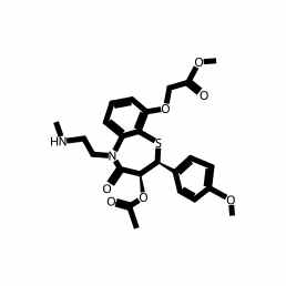 CNCCN1C(=O)[C@H](OC(C)=O)[C@H](c2ccc(OC)cc2)Sc2c(OCC(=O)OC)cccc21